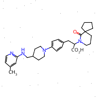 Cc1ccnc(NCC2CCN(c3ccc(CC(C(=O)O)N4CCCC5(CCCC5)C4=O)cc3)CC2)c1